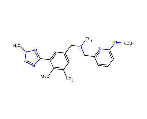 COc1c(-c2ncn(C)n2)cc(CN(C)Cc2cccc(NC(=O)O)n2)cc1[N+](=O)[O-]